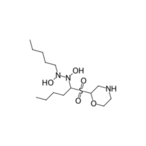 CCCCCN(O)N(O)C(CCCC)S(=O)(=O)C1CNCCO1